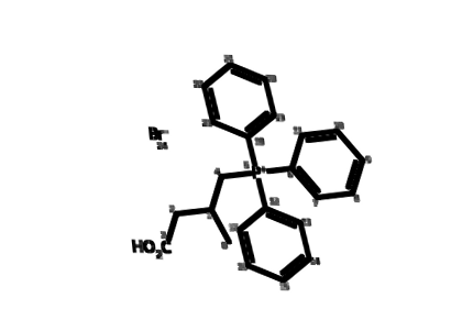 CC(CC(=O)O)C[P+](c1ccccc1)(c1ccccc1)c1ccccc1.[Br-]